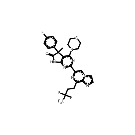 CC1(c2ccc(F)cc2)C(=O)Nc2nc(-c3cn4ccnc4c(CCC(F)(F)C(F)(F)F)n3)nc(N3CCSCC3)c21